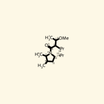 COC(C)C(C(=O)N1C(C)C(C)C[C@H]1C(C)C)C(C)C